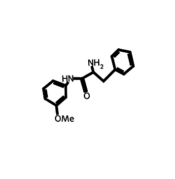 COc1cccc(NC(=O)C(N)Cc2ccccc2)c1